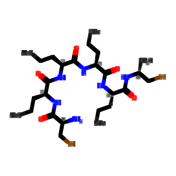 CSCC[C@H](NC(=O)[C@H](CCSC)NC(=O)[C@H](CCSC)NC(=O)[C@H](CCSC)NC(=O)[C@@H](N)CS)C(=O)N[C@@H](CS)C(=O)O